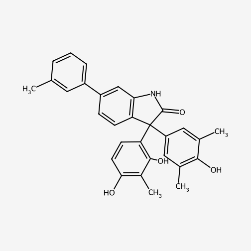 Cc1cccc(-c2ccc3c(c2)NC(=O)C3(c2cc(C)c(O)c(C)c2)c2ccc(O)c(C)c2O)c1